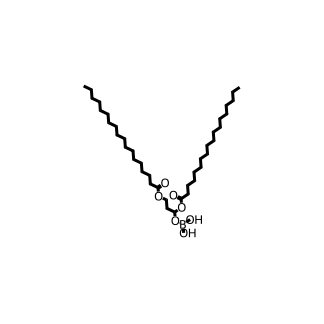 CCCCCCCCCCCCCCCCCC(=O)OCCC(OB(O)O)OC(=O)CCCCCCCCCCCCCCCCC